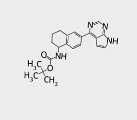 CC(C)(C)OC(=O)NC1CCCc2cc(-c3ncnc4[nH]ccc34)ccc21